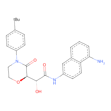 CC(C)(C)c1ccc(N2CCO[C@H]([C@@H](O)C(=O)Nc3ccc4c(N)cccc4c3)C2=O)cc1